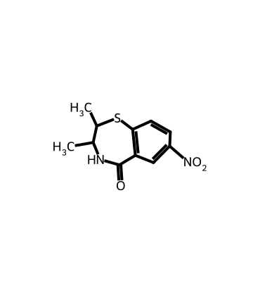 CC1NC(=O)c2cc([N+](=O)[O-])ccc2SC1C